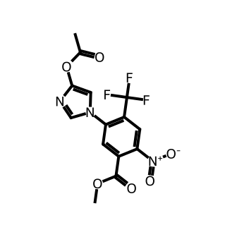 COC(=O)c1cc(-n2cnc(OC(C)=O)c2)c(C(F)(F)F)cc1[N+](=O)[O-]